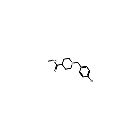 CNC(=O)C1CCN(Cc2ccc(Br)cc2)CC1